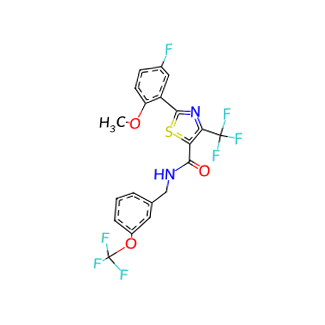 COc1ccc(F)cc1-c1nc(C(F)(F)F)c(C(=O)NCc2cccc(OC(F)(F)F)c2)s1